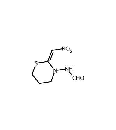 O=CNN1CCCSC1=C[N+](=O)[O-]